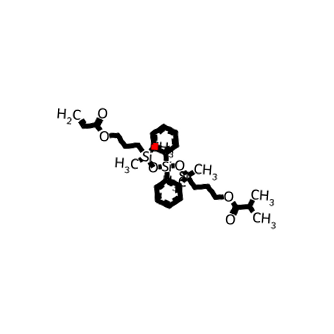 C=CC(=O)OCCC[Si](C)(C)O[Si](O[Si](C)(C)CCCOC(=O)C(C)C)(c1ccccc1)c1ccccc1